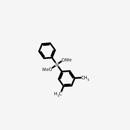 CO[Si](OC)(c1ccccc1)c1cc(C)cc(C)c1